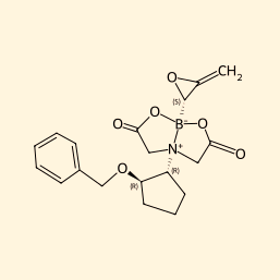 C=C1O[C@H]1[B-]12OC(=O)C[N+]1([C@@H]1CCC[C@H]1OCc1ccccc1)CC(=O)O2